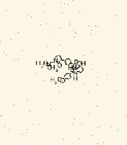 COc1ccc(C(=O)Nc2cccc(O)c2NC(=O)c2ccc(-c3cccn(CCN(C)C)c3=O)cc2)cc1